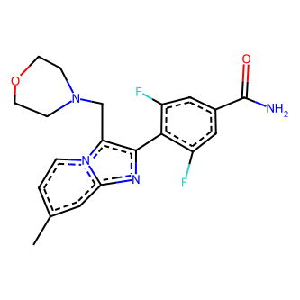 Cc1ccn2c(CN3CCOCC3)c(-c3c(F)cc(C(N)=O)cc3F)nc2c1